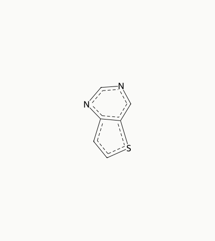 c1ncc2sccc2n1